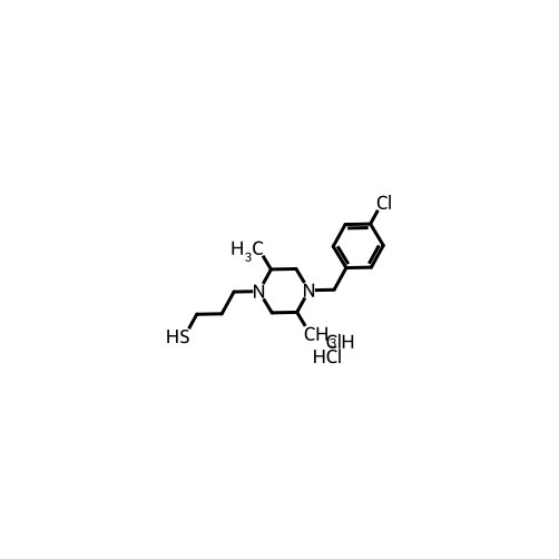 CC1CN(Cc2ccc(Cl)cc2)C(C)CN1CCCS.Cl.Cl